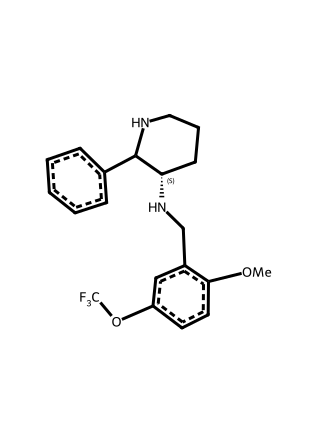 COc1ccc(OC(F)(F)F)cc1CN[C@H]1CCCNC1c1ccccc1